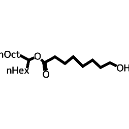 CCCCCCCCC(CCCCCC)OC(=O)CCCCCCCO